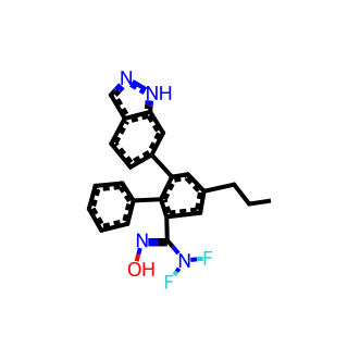 CCCc1cc(C(=NO)N(F)F)c(-c2ccccc2)c(-c2ccc3cn[nH]c3c2)c1